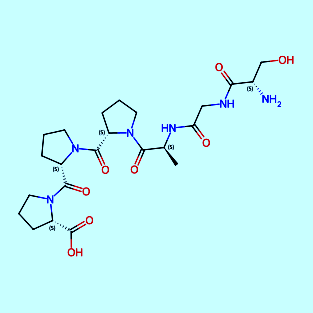 C[C@H](NC(=O)CNC(=O)[C@@H](N)CO)C(=O)N1CCC[C@H]1C(=O)N1CCC[C@H]1C(=O)N1CCC[C@H]1C(=O)O